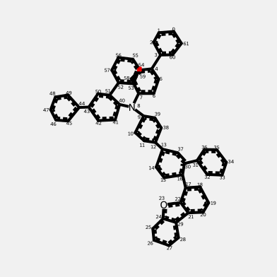 c1ccc(-c2ccc(N(c3ccc(-c4ccc(-c5cccc6c5oc5ccccc56)c(-c5ccccc5)c4)cc3)c3ccc(-c4ccccc4)cc3-c3ccccc3)cc2)cc1